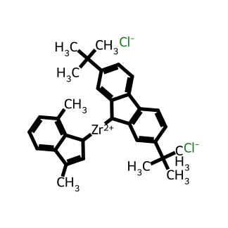 CC1=C[CH]([Zr+2][CH]2c3cc(C(C)(C)C)ccc3-c3ccc(C(C)(C)C)cc32)c2c(C)cccc21.[Cl-].[Cl-]